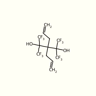 C=CCC(CC=C)(C(O)(C(F)(F)F)C(F)(F)F)C(O)(C(F)(F)F)C(F)(F)F